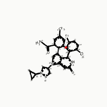 NC(=O)c1cc(C(F)(F)F)cc(F)c1-c1cn(-c2cnn(C3CC3)c2)c2cc(=O)[nH]c(-c3cc(F)ccc3Cl)c12